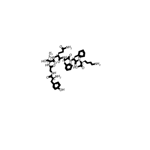 C[C@@H](O)[C@H](NC(=O)CNC(=O)[C@@H](N)Cc1ccc(O)cc1)C(=O)N[C@@H](CCC(N)=O)C(=O)N[C@@H](Cc1ccccc1)C(=O)N[C@@H](Cc1ccccc1)C(=O)N[C@@H](CCCCN)C(=O)O